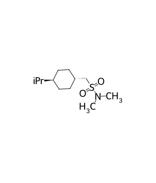 CC(C)[C@H]1CC[C@H](CS(=O)(=O)N(C)C)CC1